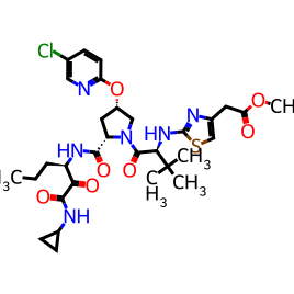 CCC[C@@H](NC(=O)[C@@H]1C[C@H](Oc2ccc(Cl)cn2)CN1C(=O)[C@@H](Nc1nc(CC(=O)OC)cs1)C(C)(C)C)C(=O)C(=O)NC1CC1